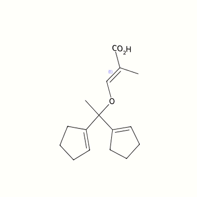 C/C(=C\OC(C)(C1=CCCC1)C1=CCCC1)C(=O)O